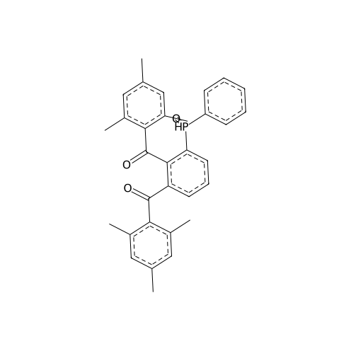 Cc1cc(C)c(C(=O)c2cccc([PH](=O)c3ccccc3)c2C(=O)c2c(C)cc(C)cc2C)c(C)c1